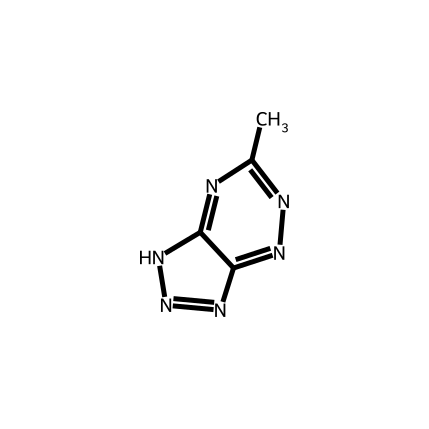 Cc1nnc2nn[nH]c2n1